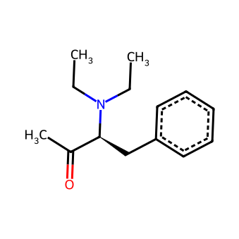 CCN(CC)[C@@H](Cc1ccccc1)C(C)=O